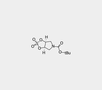 CC(C)(C)OC(=O)N1C[C@@H]2OS(=O)(=O)O[C@@H]2C1